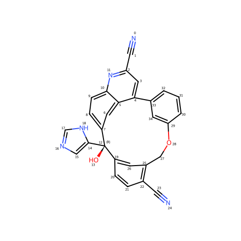 N#Cc1cc2c3cc(ccc3n1)[C@@](O)(c1cnc[nH]1)c1ccc(C#N)c(c1)COc1cccc-2c1